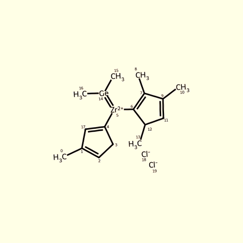 CC1=CC[C]([Zr+2]([C]2=C(C)C(C)=CC2C)=[Ge]([CH3])[CH3])=C1.[Cl-].[Cl-]